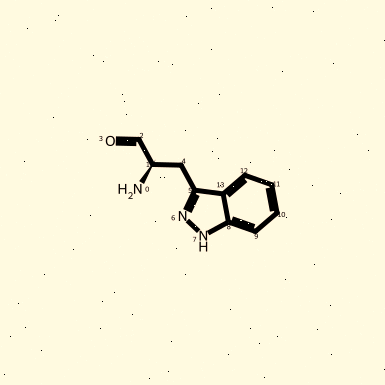 N[C@@H](C=O)Cc1n[nH]c2ccccc12